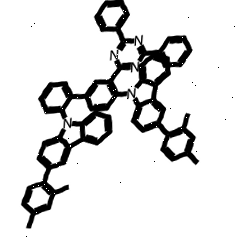 Cc1ccc(-c2ccc3c(c2)c2ccccc2n3-c2ccccc2-c2ccc(-n3c4ccccc4c4cc(-c5ccc(C)cc5C)ccc43)c(-c3nc(-c4ccccc4)nc(-c4ccccc4)n3)c2)c(C)c1